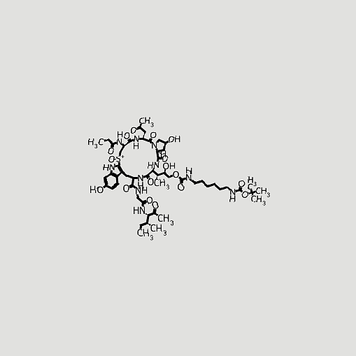 CCC(=O)NC1C[S@@+]([O-])c2[nH]c3cc(O)ccc3c2CC(C(=O)NCC(=O)N[C@H](C(C)=O)[C@@H](C)CC)NC(=O)[C@H]([C@@H](C)[C@@H](O)COC(=O)NCCCCCCNC(=O)OC(C)(C)C)NC(=O)[C@@H]2CC(O)CN2C(=O)[C@H](CC(C)=O)NC1=O